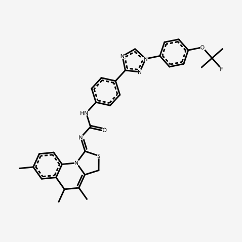 CC1=C2CS/C(=N\C(=O)Nc3ccc(-c4ncn(-c5ccc(OC(C)(C)F)cc5)n4)cc3)N2c2ccc(C)cc2C1C